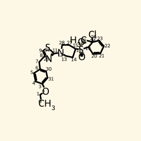 CCOc1ccc(Cc2csc(N3CCC(S(=O)(=O)C4C=CC=CC4(C)Cl)CC3)n2)cc1